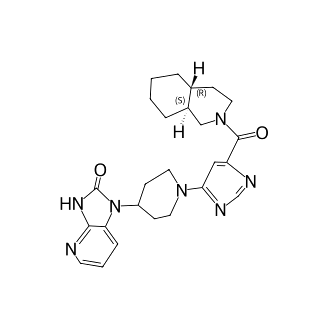 O=C(c1cc(N2CCC(n3c(=O)[nH]c4ncccc43)CC2)ncn1)N1CC[C@H]2CCCC[C@@H]2C1